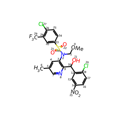 COCN(c1cc(C)cnc1C(O)c1cc([N+](=O)[O-])ccc1Cl)S(=O)(=O)c1ccc(Cl)c(C(F)(F)F)c1